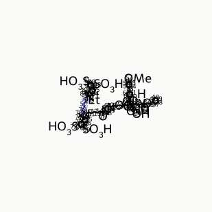 CC[N+]1=C(/C=C/C=C/C=C2\N(CCCCCC(=O)N3CCN(CCOCCON([C@H](CCNC(=O)OCc4ccccc4)C(=O)NO)S(=O)(=O)c4ccc(-c5ccc(OC)cc5)cc4)CC3)c3ccc4c(S(=O)(=O)O)cc(S(=O)(=O)O)cc4c3C2(C)C)C(C)(C)c2c1ccc1c(S(=O)(=O)O)cc(S(=O)(=O)O)cc21